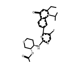 CCc1cc(=O)c2ccc(-c3nc(N[C@@H]4CCOC[C@H]4OC(C)=O)ncc3F)cc2n1C(C)C